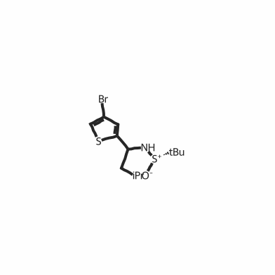 CC(C)CC(N[S@@+]([O-])C(C)(C)C)c1cc(Br)cs1